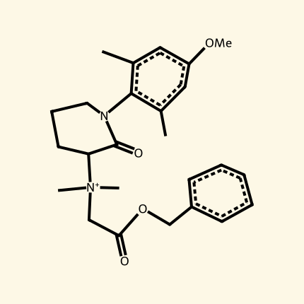 COc1cc(C)c(N2CCCC([N+](C)(C)CC(=O)OCc3ccccc3)C2=O)c(C)c1